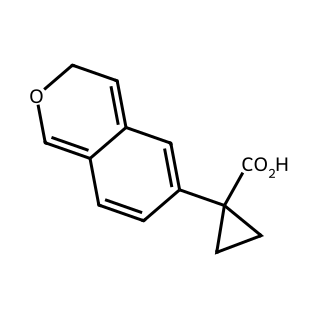 O=C(O)C1(c2ccc3c(c2)=CCOC=3)CC1